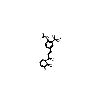 COC(=O)c1cc(C=CC(=O)N2CCC=C(Cl)C2=O)ccc1OC(C)=O